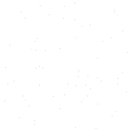 COc1cc(C(Nc2ccc(C#N)cc2)C(=O)O)c(N(S(=O)(=O)c2ccccc2)S(=O)(=O)c2ccccc2)cc1OCc1ccccc1